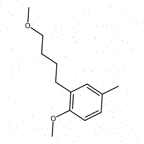 COCCCCc1cc(C)ccc1OC